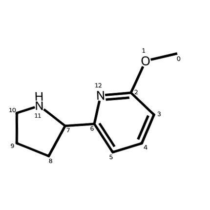 COc1cccc(C2CCCN2)n1